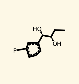 CC[C@@H](O)[C@H](O)c1cccc(F)c1